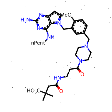 CCCCCNc1nc(N)nc2ccn(Cc3cc(CN4CCN(C(=O)CCNC(=O)CC(C)(C)C(=O)O)CC4)ccc3OC)c12